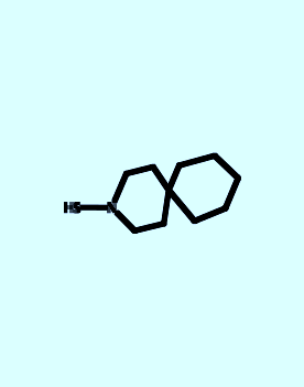 SN1CCC2(CCCCC2)CC1